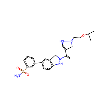 C=C(C1=CNN(CCOC(C)C)C1)N1Cc2cc(-c3cccc(S(N)(=O)=O)c3)ccc2N1